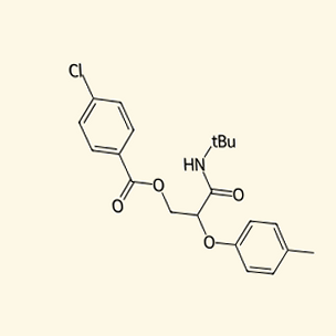 Cc1ccc(OC(COC(=O)c2ccc(Cl)cc2)C(=O)NC(C)(C)C)cc1